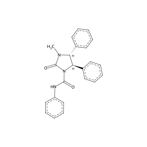 CN1C(=O)N(C(=O)Nc2ccccc2)[C@H](c2ccccc2)[C@H]1c1ccccc1